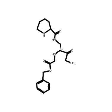 CCC(=O)[C@H](CNC(=O)C1CCCCN1)NCC(=O)OCc1ccccc1